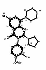 COc1ccc(-n2c([C@H]3CCCN3)nc3c(N4CCOCC4)cc(C#N)cc3c2=O)cc1F